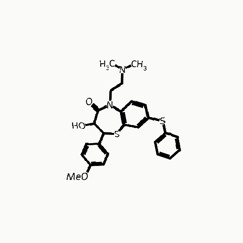 COc1ccc(C2Sc3cc(Sc4ccccc4)ccc3N(CCN(C)C)C(=O)C2O)cc1